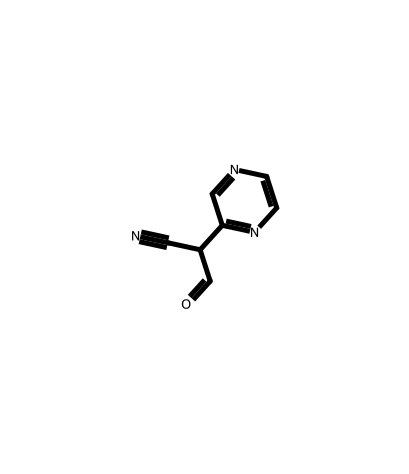 N#CC(C=O)c1cnccn1